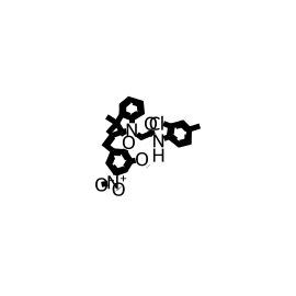 COc1cc([N+](=O)[O-])cc2c1OC1(C=C2)N(CC(=O)Nc2ccc(C)cc2Cl)c2ccccc2C1(C)C